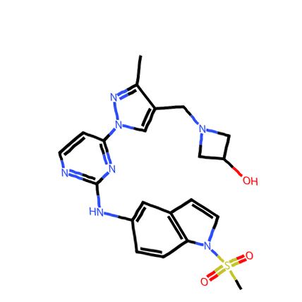 Cc1nn(-c2ccnc(Nc3ccc4c(ccn4S(C)(=O)=O)c3)n2)cc1CN1CC(O)C1